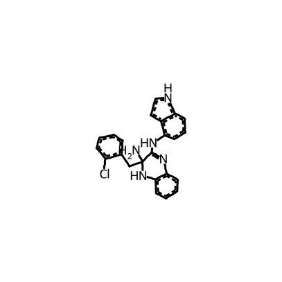 NC1(Cc2ccccc2Cl)Nc2ccccc2N=C1Nc1cccc2[nH]ccc12